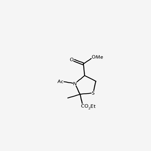 CCOC(=O)C1(C)SCC(C(=O)OC)N1C(C)=O